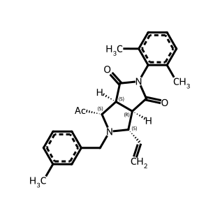 C=C[C@H]1[C@@H]2C(=O)N(c3c(C)cccc3C)C(=O)[C@@H]2[C@@H](C(C)=O)N1Cc1cccc(C)c1